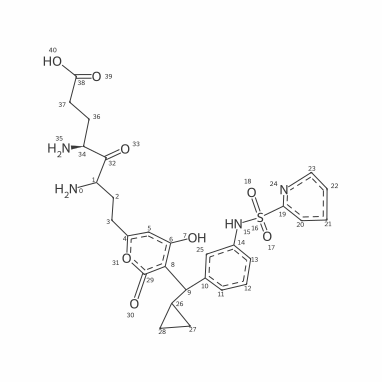 NC(CCc1cc(O)c(C(c2cccc(NS(=O)(=O)c3ccccn3)c2)C2CC2)c(=O)o1)C(=O)[C@@H](N)CCC(=O)O